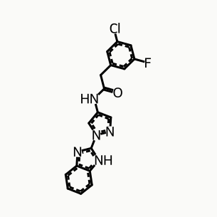 O=C(Cc1cc(F)cc(Cl)c1)Nc1cnn(-c2nc3ccccc3[nH]2)c1